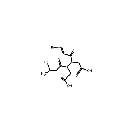 CC(Br)CC(=O)N(CC(=O)O)N(CC(=O)O)C(=O)/C=C/Br